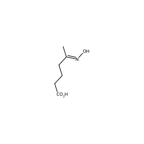 CC(CCCC(=O)O)=NO